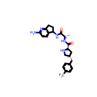 C[C@H](NC(=O)[C@H]1C[C@H](Cc2ccc(C(F)(F)F)cc2)CN1)C(=O)NC1CCc2nc(N)ccc21